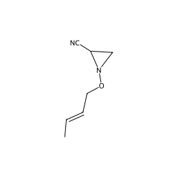 C/C=C/CON1CC1C#N